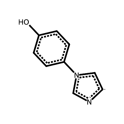 Oc1ccc(-n2c[c]nc2)cc1